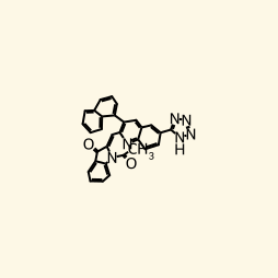 CC(=O)N1/C(=C\c2nc3ccc(-c4nnn[nH]4)cc3cc2-c2cccc3ccccc23)C(=O)c2ccccc21